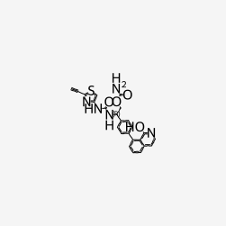 C#Cc1nc(NC(=O)N[C@@H](COC(N)=O)c2ccc(-c3cccc4ccnc(O)c34)cc2)cs1